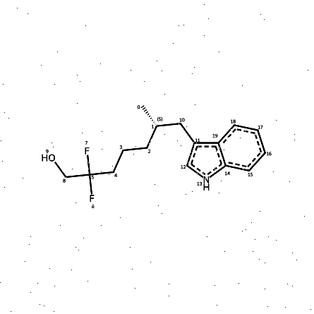 C[C@@H](CCCC(F)(F)CO)Cc1c[nH]c2ccccc12